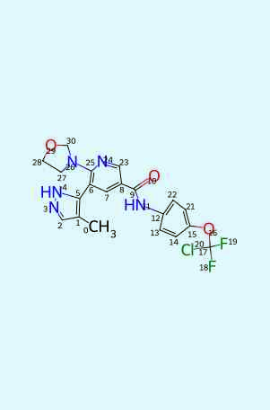 Cc1cn[nH]c1-c1cc(C(=O)Nc2ccc(OC(F)(F)Cl)cc2)cnc1N1CCOC1